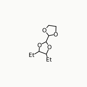 CCC1OC(C2OCCO2)OC1CC